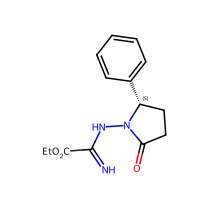 CCOC(=O)C(=N)NN1C(=O)CC[C@H]1c1ccccc1